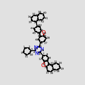 c1ccc(-c2nc(-c3ccc4c(c3)oc3ccc5ccccc5c34)nc(-c3ccc4oc5cc(-c6cccc7ccccc67)ccc5c4c3)n2)cc1